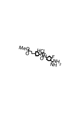 COC(=O)CCc1ccc(N2CCN(c3ccc(C(=N)N)c(F)c3)C2=O)cc1.Cl